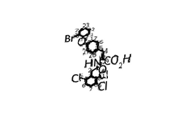 O=C(Cc1c(Cl)ccc(Cl)c1Cl)N/C(=C\c1ccc(Oc2ccccc2Br)cc1)C(=O)O